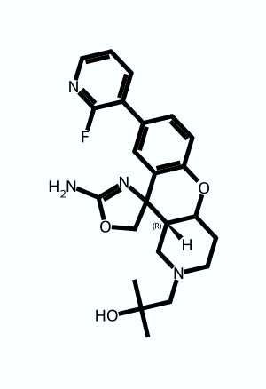 CC(C)(O)CN1CCC2Oc3ccc(-c4cccnc4F)cc3C3(COC(N)=N3)[C@H]2C1